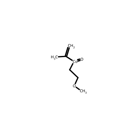 C=[C](C)[Co](=[O])[CH2]COC